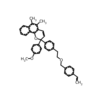 C=Cc1ccc(COCCc2ccc(C3(c4ccc(OC)cc4)C=Cc4c(C)c(C)c5ccccc5c4O3)cc2)cc1